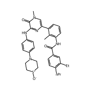 CCCc1ccc(C(=O)Nc2cccc(-c3cn(C)c(=O)c(Nc4ccc(N5CC[S+]([O-])CC5)cc4)n3)c2C)cc1CC